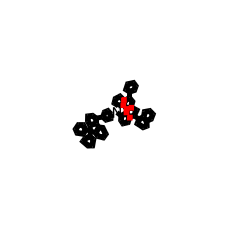 c1ccc(-c2ccc(-c3ccccc3N(c3ccc(-c4cccc5c4-c4ccccc4C5(c4ccccc4)c4ccccc4)cc3)c3ccccc3-c3ccc(-c4cccc5ccccc45)cc3)cc2)cc1